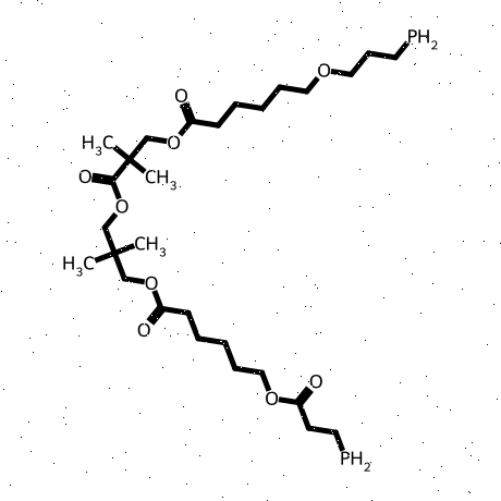 CC(C)(COC(=O)CCCCCOC(=O)CCP)COC(=O)C(C)(C)COC(=O)CCCCCOCCCP